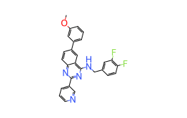 COc1cccc(-c2ccc3nc(-c4cccnc4)nc(NCc4ccc(F)c(F)c4)c3c2)c1